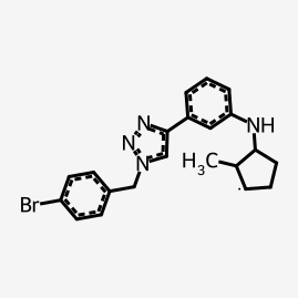 CC1[CH]CCC1Nc1cccc(-c2cn(Cc3ccc(Br)cc3)nn2)c1